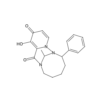 CC1N2CCCCC(c3ccccc3)N1n1ccc(=O)c(O)c1C2=O